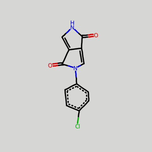 O=C1NC=C2C(=O)N(c3ccc(Cl)cc3)C=C12